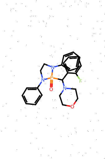 O=P1(C(c2ccccc2F)N2CCOCC2)N(c2ccccc2)CCN1c1ccccc1